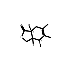 CC1=C(C)[C@@H](C)C2(I)COC(=O)[C@@H]2C1